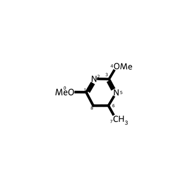 COC1=NC(OC)=NC(C)C1